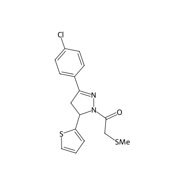 CSCC(=O)N1N=C(c2ccc(Cl)cc2)CC1c1cccs1